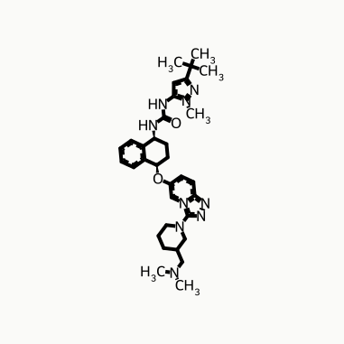 CN(C)CC1CCCN(c2nnc3ccc(O[C@@H]4CC[C@H](NC(=O)Nc5cc(C(C)(C)C)nn5C)c5ccccc54)cn23)C1